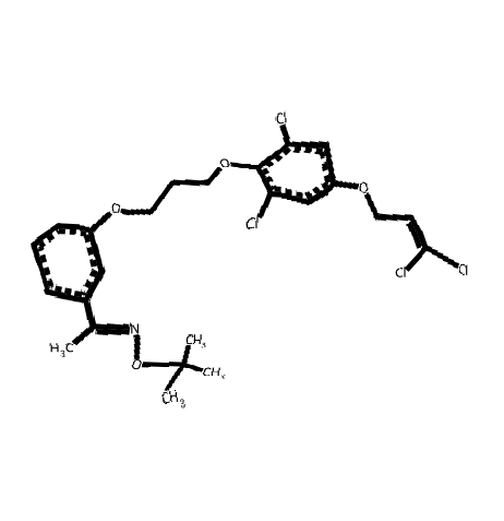 CC(=NOC(C)(C)C)c1cccc(OCCCOc2c(Cl)cc(OCC=C(Cl)Cl)cc2Cl)c1